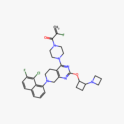 C=C(F)C(=O)N1CCN(c2nc(OC3CCC3N3CCC3)nc3c2CCN(c2cccc4ccc(F)c(Cl)c24)C3)CC1